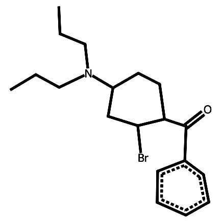 CCCN(CCC)C1CCC(C(=O)c2ccccc2)C(Br)C1